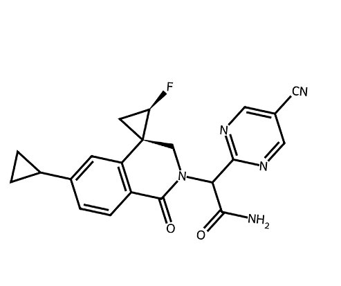 N#Cc1cnc(C(C(N)=O)N2C[C@]3(C[C@H]3F)c3cc(C4CC4)ccc3C2=O)nc1